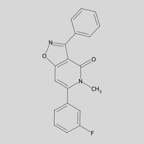 Cn1c(-c2cccc(F)c2)cc2onc(-c3ccccc3)c2c1=O